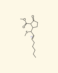 CCCCC/C=C/C(SC)C1CCC(=O)C1C(=O)OC